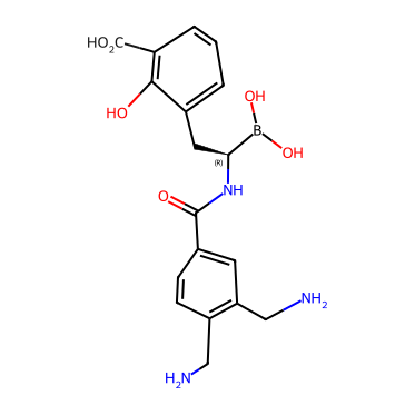 NCc1ccc(C(=O)N[C@@H](Cc2cccc(C(=O)O)c2O)B(O)O)cc1CN